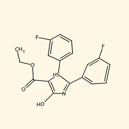 CCOC(=O)C1=C(O)N=C(c2cccc(F)c2)[SH]1c1cccc(F)c1